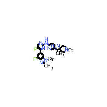 CCN1CCC(N)([C@@H](C)c2ccc(Nc3ncc(F)c(-c4cc(F)c5nc(C)n(C(C)C)c5c4)n3)nc2)CC1